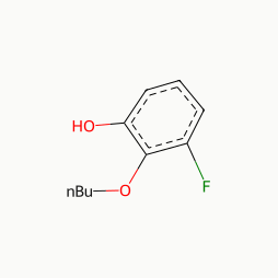 CCCCOc1c(O)cccc1F